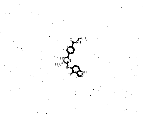 CCNC(=O)c1ccc(C2N=C(Nc3ccc4[nH]ncc4c3Cl)N(C)N2)cn1